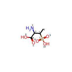 CC(C(N)C(=O)O)S(=O)(=O)O